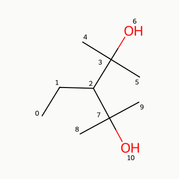 CCC(C(C)(C)O)C(C)(C)O